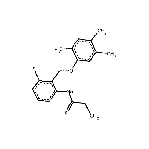 CCC(=S)Nc1cccc(F)c1COc1cc(C)c(C)cc1C